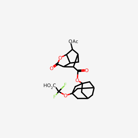 CC(=O)OC1C2CC3C1OC(=O)C3C2C(=O)OC12CC3CC(C1)CC(OC(F)(F)C(=O)O)(C3)C2